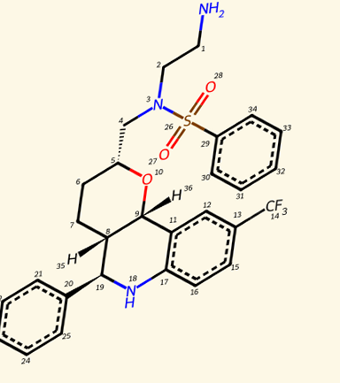 NCCN(C[C@H]1CC[C@@H]2[C@H](O1)c1cc(C(F)(F)F)ccc1N[C@H]2c1ccccc1)S(=O)(=O)c1ccccc1